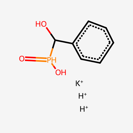 O=[PH](O)C(O)c1ccccc1.[H+].[H+].[K+]